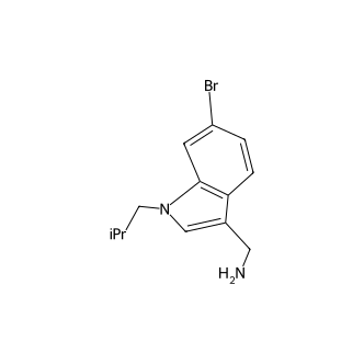 CC(C)Cn1cc(CN)c2ccc(Br)cc21